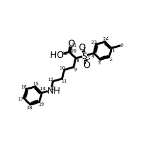 Cc1ccc(S(=O)(=O)C(CCCCNc2ccccc2)C(=O)O)cc1